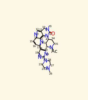 CC(=O)N1CCC(N2C(=O)N(C)Cc3cnc4ccc(-c5cnc(N6CCN(C)CC6)nc5)nc4c32)CC1